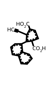 C#Cc1c(C(=O)O)ccc(C(=O)O)c1-c1cccc2ccccc12